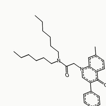 CCCCCCN(CCCCCC)C(=O)Cn1cc(-c2ccccc2)c(=O)c2ccc(C)cc21